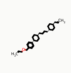 C=CCOCc1ccc([C@H]2CC[C@H](CCCC[C@H]3CC[C@H](CC=C)CC3)CC2)cc1